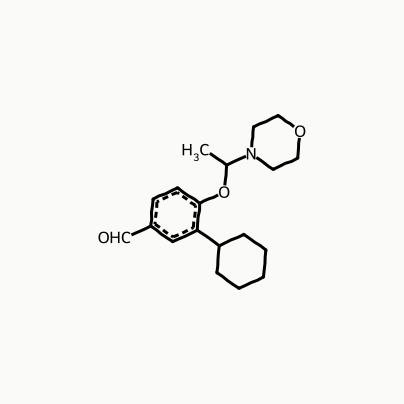 CC(Oc1ccc(C=O)cc1C1CCCCC1)N1CCOCC1